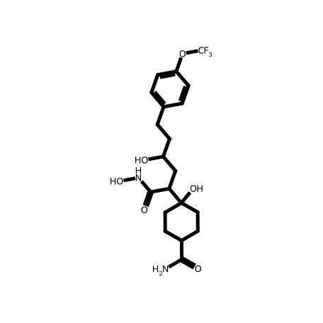 NC(=O)C1CCC(O)(C(CC(O)[CH]Cc2ccc(OC(F)(F)F)cc2)C(=O)NO)CC1